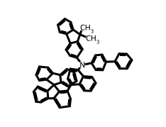 CC1(C)c2ccccc2-c2ccc(N(c3ccc(-c4ccccc4)cc3)c3ccc(-c4cccc5c4C4(c6ccccc6-c6ccccc64)c4ccccc4-5)c4ccccc34)cc21